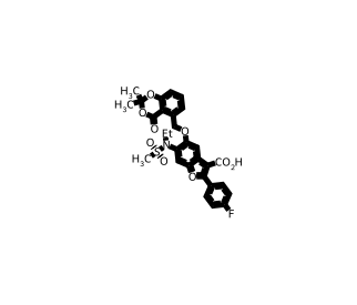 CCN(c1cc2oc(-c3ccc(F)cc3)c(C(=O)O)c2cc1OCc1cccc2c1C(=O)OC(C)(C)O2)S(C)(=O)=O